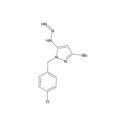 CC(C)(C)c1cc(NN=N)n(Cc2ccc(Cl)cc2)n1